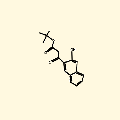 CC(C)(C)OC(=O)CC(=O)c1cc2ccccc2cc1O